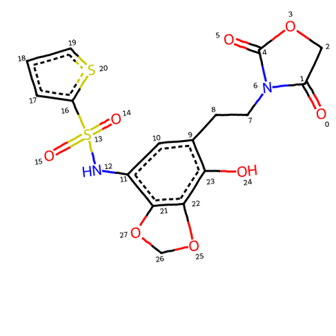 O=C1COC(=O)N1CCc1cc(NS(=O)(=O)c2cccs2)c2c(c1O)OCO2